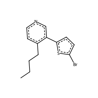 CCCCc1ccncc1-c1ccc(Br)s1